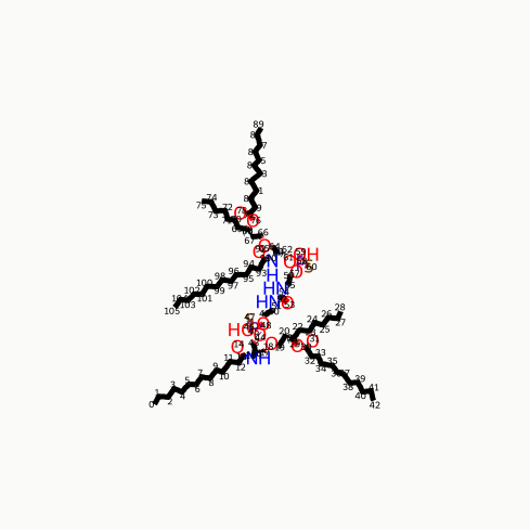 CCCCCCCCCCCCCC(=O)N[C@H](COCC[C@@H](CCCCCCC)OC(=O)CCCCCCCCCCC)COP(O)(=S)OCCNC(=O)NCCOP(O)(=S)OC[C@@H](COCC[C@@H](CCCCCCC)OC(=O)CCCCCCCCCCC)NC(=O)CCCCCCCCCCCCC